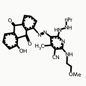 CCCNNc1nc(NCCOC)c(C#N)c(C)c1/N=N/c1cccc2c1C(=O)c1c(O)cccc1C2=O